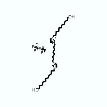 F[B-](F)(F)F.F[B-](F)(F)F.OCCCCCCCCCCC[n+]1ccn(CCCCCCCCn2cc[n+](CCCCCCCCCCCO)c2)c1